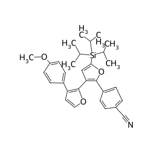 COc1ccc(-c2ccoc2-c2cc([Si](C(C)C)(C(C)C)C(C)C)oc2-c2ccc(C#N)cc2)cc1